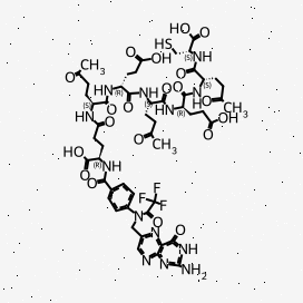 CC(=O)CC[C@H](NC(=O)CC[C@@H](NC(=O)c1ccc(N(Cc2cnc3nc(N)[nH]c(=O)c3n2)C(=O)C(F)(F)F)cc1)C(=O)O)C(=O)N[C@H](CCC(=O)O)C(=O)N[C@@H](CCC(C)=O)C(=O)N[C@H](CCC(=O)O)C(=O)N[C@@H](CCC(C)=O)C(=O)N[C@H](CS)C(=O)O